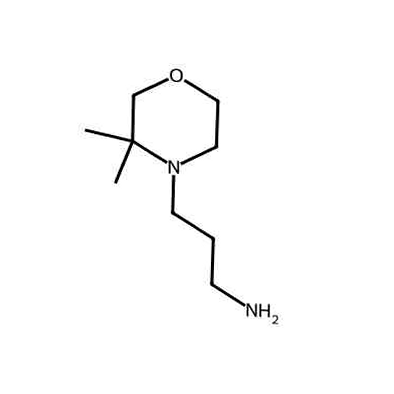 CC1(C)COCCN1CCCN